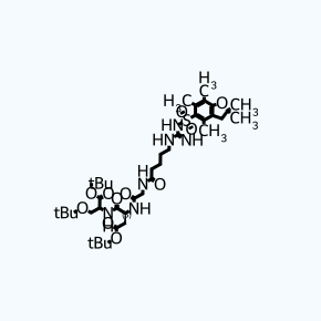 Cc1c(C)c(S(=O)(=O)NC(=N)NCCCCC(=O)NCC(=O)N[C@@H](CC(=O)OC(C)(C)C)C(=O)NC(COC(C)(C)C)C(=O)OC(C)(C)C)c(C)c2c1OC(C)(C)C2